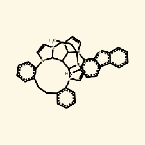 Cc1ccc2c(oc3ccccc32)c1N1C=CN(C)C1C1C2N3C=CN2c2ccccc2CCc2ccccc2N2C=CN(CCC3)C12